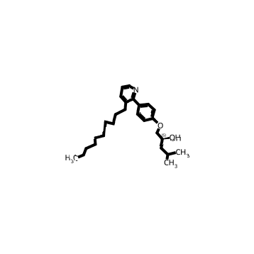 CCCCCCCCCCc1cccnc1-c1ccc(OC[C@@H](O)CC(C)C)cc1